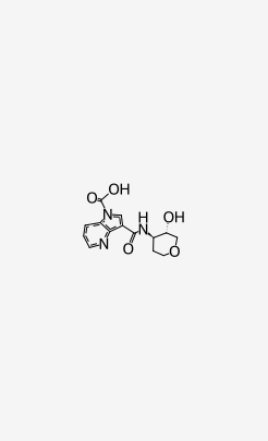 O=C(N[C@@H]1CCOC[C@H]1O)c1cn(C(=O)O)c2cccnc12